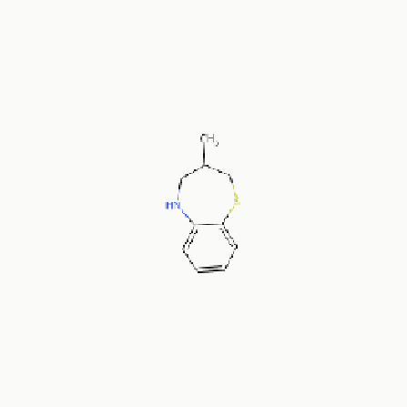 CC1CNc2ccccc2SC1